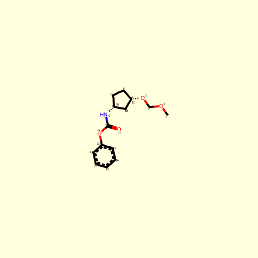 COCO[C@H]1CC[C@@H](NC(=O)Oc2ccccc2)C1